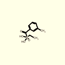 CCS(=O)(O)(O)C(=O)c1cccc(C)c1